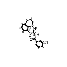 O=C(NC1=NC2CCCc3cccc(c32)N1)c1cccc(Cl)c1